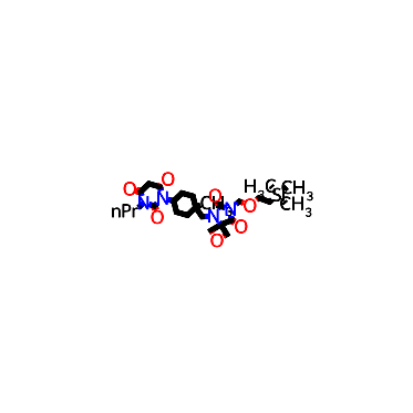 CCCN1C(=O)CC(=O)N(C2CCC(C)(CN3C(=O)N(COCC[Si](C)(C)C)C(=O)C34COC4)CC2)C1=O